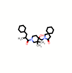 CC(CC1CCCCC1)C(=O)N1CCC(O)(CN2CC3(CCCCC3)CC2=O)C(C)(C)C1